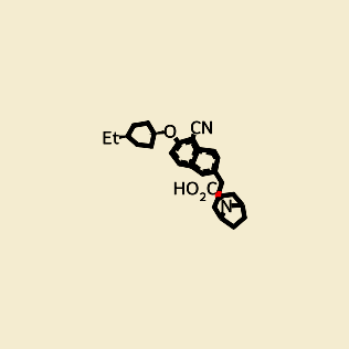 CC[C@H]1CC[C@@H](Oc2ccc3cc(CCN4C5CCC4CC(C(=O)O)C5)ccc3c2C#N)CC1